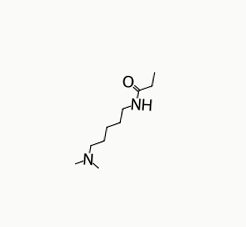 CCC(=O)NCCCCCN(C)C